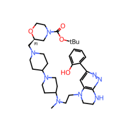 CN(CCN1CCNc2nnc(-c3ccccc3O)cc21)C1CCN(C2CCN(C[C@@H]3CN(C(=O)OC(C)(C)C)CCO3)CC2)CC1